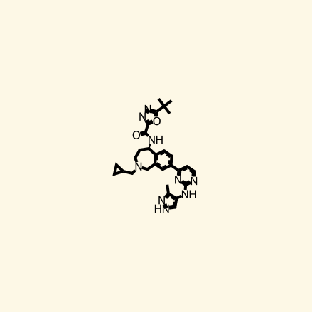 Cc1n[nH]cc1Nc1nccc(-c2ccc3c(c2)CN(CC2CC2)CC[C@H]3NC(=O)c2nnc(C(C)(C)C)o2)n1